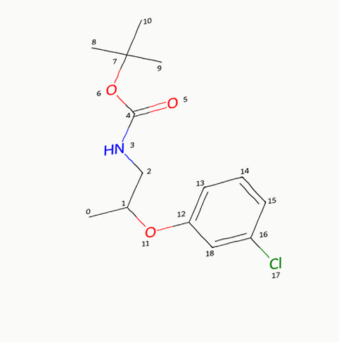 CC(CNC(=O)OC(C)(C)C)Oc1cccc(Cl)c1